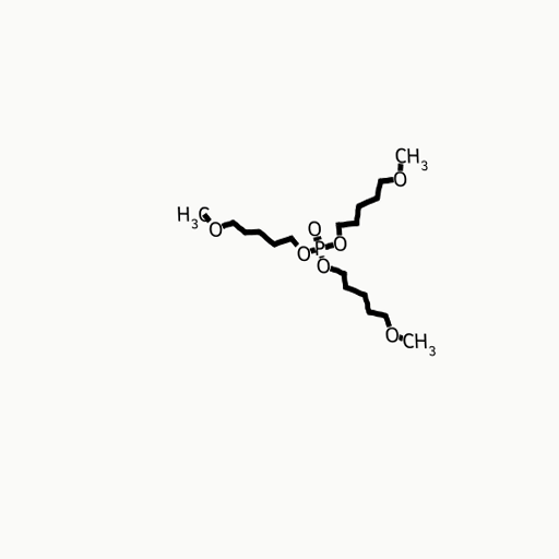 COCCCCCOP(=O)(OCCCCCOC)OCCCCCOC